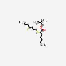 CCCCCC(SCCCC(F)CCC)C(=O)OCC(C)C